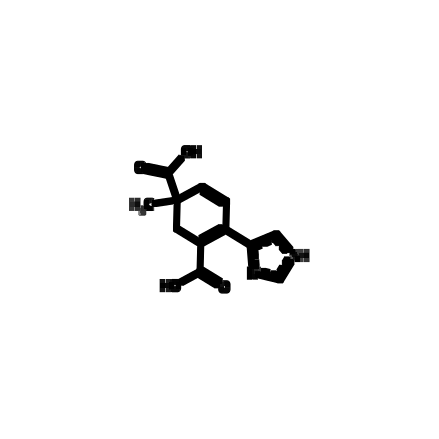 CC1(C(=O)O)C=CC(c2c[nH]cn2)=C(C(=O)O)C1